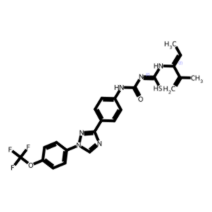 C=C(C)/C(=C/C)N/C(S)=N/C(=O)Nc1ccc(-c2ncn(-c3ccc(OC(F)(F)F)cc3)n2)cc1